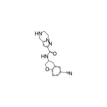 N#Cc1ccc2c(c1)CC(NC(=O)c1cc3n(n1)CCNC3)CO2